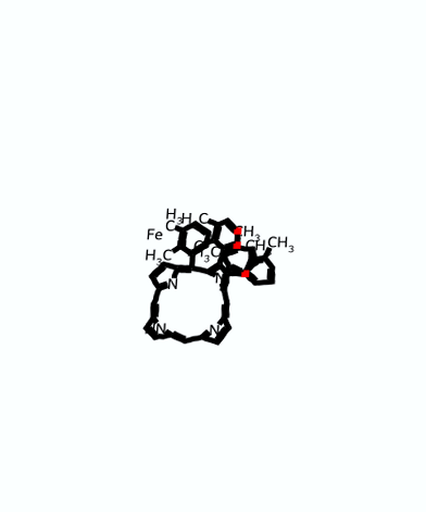 Cc1cccc(-c2c(-c3cccc(C)c3C)c3c(-c4cccc(C)c4C)c4nc(cc5ccc(cc6nc(cc2n3-c2cccc(C)c2C)C=C6)[nH]5)C=C4)c1C.[Fe]